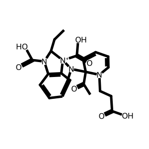 CCC1N(C(=O)O)c2ccc3cc2[N+]1(C(=O)O)N3C1(C(C)=O)C=CC=CN1CCC(=O)O